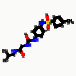 CCC(CC)CNC(=O)CNC(=O)Nc1ccc(NS(=O)(=O)c2ccc(C)cc2)cc1